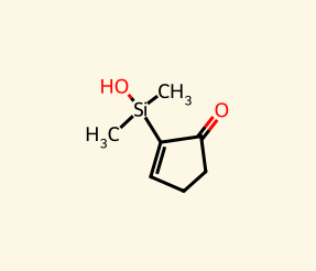 C[Si](C)(O)C1=CCCC1=O